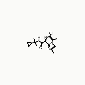 Cc1cn2c(C)c(Cl)nc(C(=O)NC(C)(C)C3CC3)c2n1